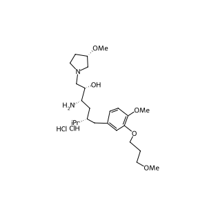 COCCCOc1cc(C[C@@H](C[C@H](N)[C@@H](O)CN2CC[C@H](OC)C2)C(C)C)ccc1OC.Cl.Cl